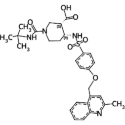 Cc1cc(COc2ccc(S(=O)(=O)N[C@@H]3CCN(C(=O)NC(C)(C)C)C[C@@H]3C(=O)O)cc2)c2ccccc2n1